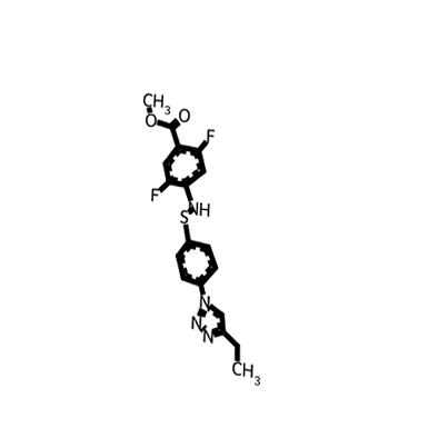 CCc1cn(-c2ccc(SNc3cc(F)c(C(=O)OC)cc3F)cc2)nn1